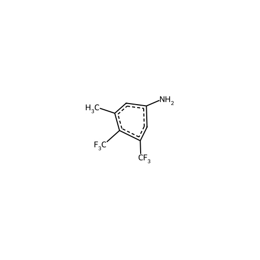 Cc1cc(N)cc(C(F)(F)F)c1C(F)(F)F